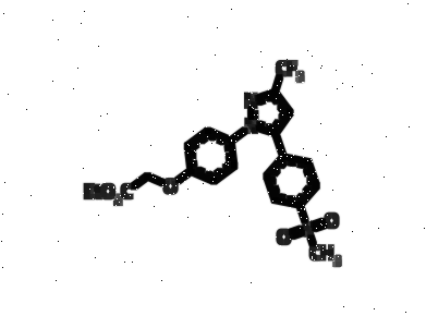 CCOC(=O)COc1ccc(-n2nc(C(F)(F)F)cc2-c2ccc(S(C)(=O)=O)cc2)cc1